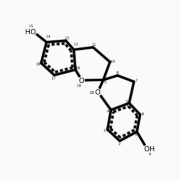 Oc1ccc2c(c1)CCC1(CCc3cc(O)ccc3O1)O2